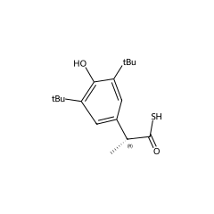 C[C@@H](C(=O)S)c1cc(C(C)(C)C)c(O)c(C(C)(C)C)c1